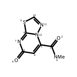 CNC(=O)c1cc(=O)nc2s[c]nn12